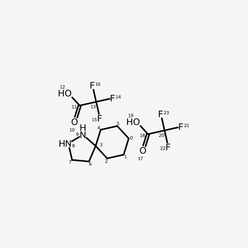 C1CCC2(CC1)CCNN2.O=C(O)C(F)(F)F.O=C(O)C(F)(F)F